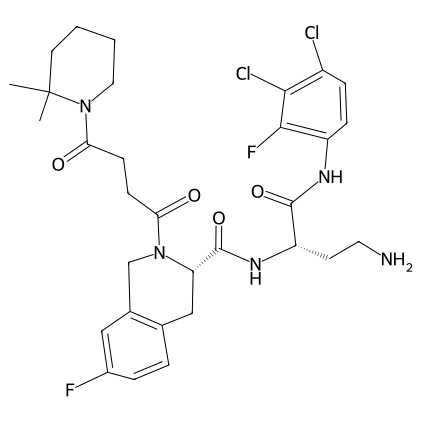 CC1(C)CCCCN1C(=O)CCC(=O)N1Cc2cc(F)ccc2C[C@H]1C(=O)N[C@@H](CCN)C(=O)Nc1ccc(Cl)c(Cl)c1F